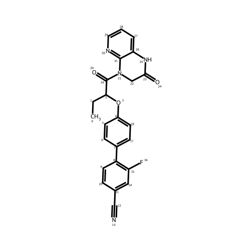 CCC(Oc1ccc(-c2ccc(C#N)cc2F)cc1)C(=O)N1CC(=O)Nc2cccnc21